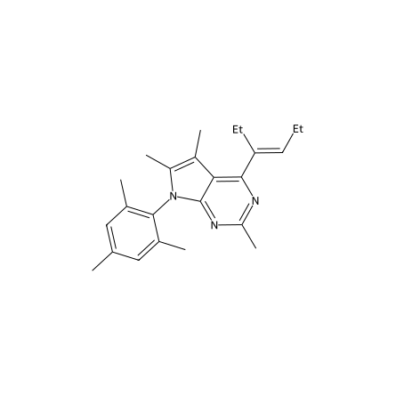 CC/C=C(\CC)c1nc(C)nc2c1c(C)c(C)n2-c1c(C)cc(C)cc1C